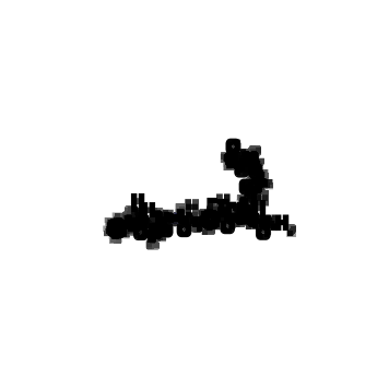 CNC(C(=O)NC(C(=O)N(C)C/C=C(\C)C(=O)NSc1ccc(NC(=O)C(CCCNC(N)=O)NC(=O)CNC(=O)CC(C)(C)COCC(C)(C)CN2C(=O)C=CC2=O)c(F)c1)C(C)(C)C)C(C)(C)c1ccccc1